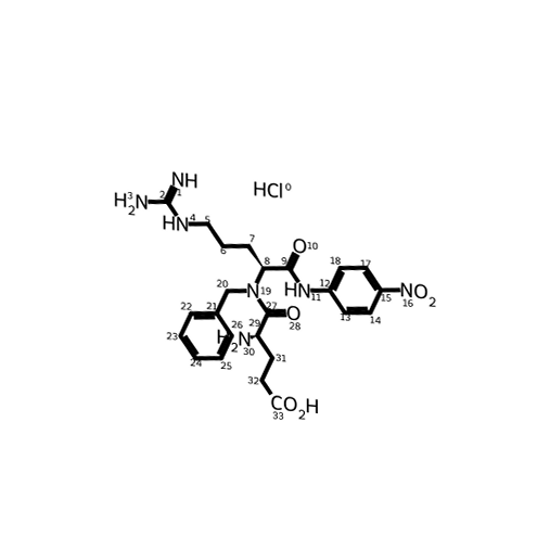 Cl.N=C(N)NCCC[C@@H](C(=O)Nc1ccc([N+](=O)[O-])cc1)N(Cc1ccccc1)C(=O)[C@@H](N)CCC(=O)O